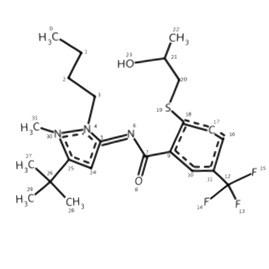 CCCCn1/c(=N/C(=O)c2cc(C(F)(F)F)ccc2SCC(C)O)cc(C(C)(C)C)n1C